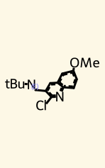 COc1ccc2nc(Cl)c(/C=N/C(C)(C)C)cc2c1